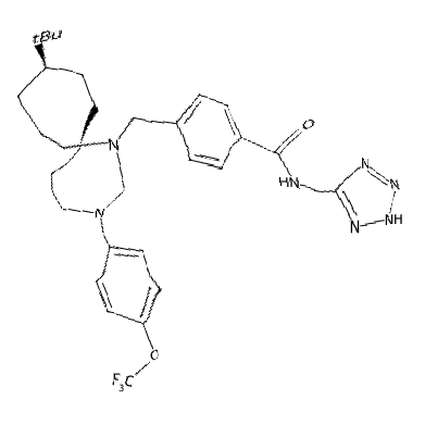 CC(C)(C)[C@H]1CC[C@@]2(CCN(c3ccc(OC(F)(F)F)cc3)CN2Cc2ccc(C(=O)Nc3nn[nH]n3)cc2)CC1